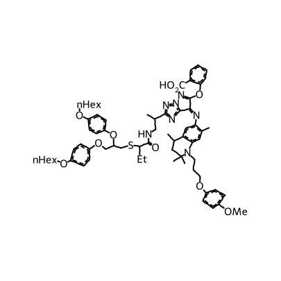 CCCCCCOc1ccc(OCC(CSC(CC)C(=O)NCC(C)c2nc3n(n2)N=C(Oc2ccccc2C(=O)O)/C3=N/c2cc3c(cc2C)N(CCCOc2ccc(OC)cc2)C(C)(C)CC3C)Oc2ccc(OCCCCCC)cc2)cc1